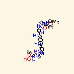 COC(=O)N[C@@H](C(=O)N1CCCC1c1nc2ccc(C3Cc4cc5c(cc4N3)NC(c3ccc4nc(C6CCCN6C(=O)[C@@H](NC(=O)CO)C(C)C)[nH]c4c3)C5)cc2[nH]1)C(C)C